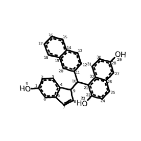 Oc1ccc2c(c1)C=CC2C(c1ccc2ccccc2c1)c1c(O)ccc2cc(O)ccc12